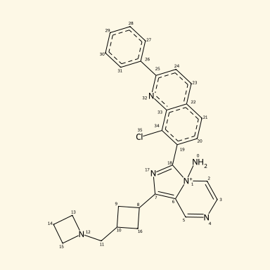 N[N+]12C=CN=CC1=C(C1CC(CN3CCC3)C1)N=C2c1ccc2ccc(-c3ccccc3)nc2c1Cl